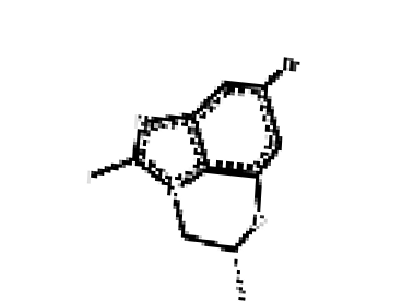 C[C@@H]1Cn2c(I)nc3cc(Br)cc(c32)O1